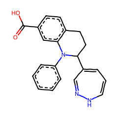 O=C(O)c1ccc2c(c1)N(c1ccccc1)C(C1=CC=CNN=C1)CC2